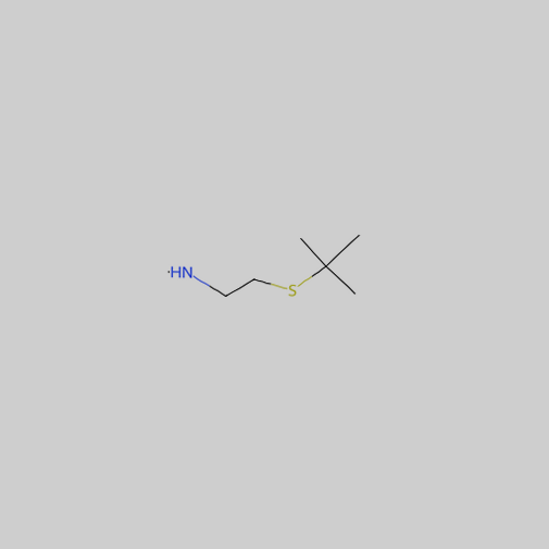 CC(C)(C)SCC[NH]